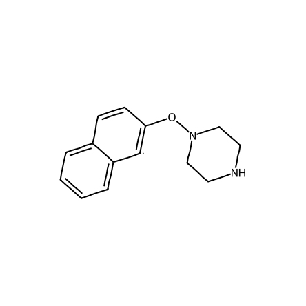 [c]1c(ON2CCNCC2)ccc2ccccc12